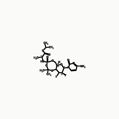 CC(C)OC(=O)[C@H](C)NP1(=O)OC[C@H]2O[C@@H](n3ccc(N)nc3=O)[C@@H](F)C(F)C2OC(C)(C)O1